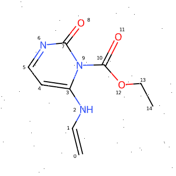 C=CNc1ccnc(=O)n1C(=O)OCC